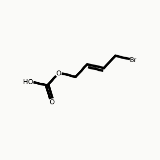 O=C(O)OCC=CCBr